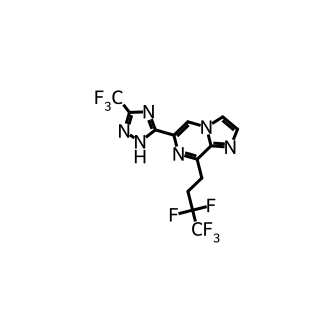 FC(F)(F)c1n[nH]c(-c2cn3ccnc3c(CCC(F)(F)C(F)(F)F)n2)n1